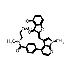 COCCN(C)C(=O)c1ccc(-c2ccnc3c2c(C=C2Oc4cccc(O)c4C2=O)cn3C)cc1